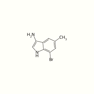 Cc1cc(Br)c2[nH]cc(N)c2c1